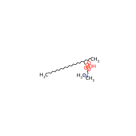 CCCCCCCCCCCCCCCCCCC(COP(=O)(O)OCCN(C)C)CC(=O)CC